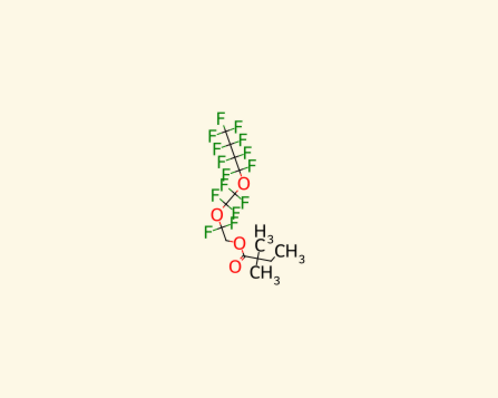 CCC(C)(C)C(=O)OCC(F)(F)OC(F)(F)C(F)(F)OC(F)(F)C(F)(F)C(F)(F)C(F)(F)F